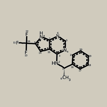 C[C@H](Nc1ncnc2[nH]c(C(F)(F)F)cc12)c1ccccc1